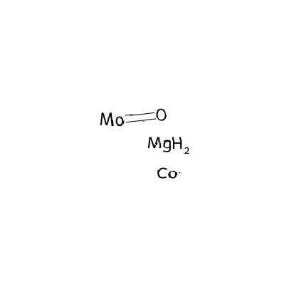 [Co].[MgH2].[O]=[Mo]